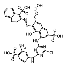 Nc1cc(Nc2nc(Cl)nc(Nc3cc(S(=O)(=O)O)cc4cc(SOOO)c(/N=N/c5ccc6ccccc6c5S(=O)(=O)O)c(O)c34)n2)ccc1S(=O)(=O)O